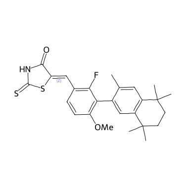 COc1ccc(/C=C2\SC(=S)NC2=O)c(F)c1-c1cc2c(cc1C)C(C)(C)CCC2(C)C